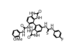 COc1ccccc1NC(=O)Nc1ccc2[nH]c(=O)[nH]c2c1-c1cc(NC(=S)Nc2ccc(F)cc2)cc2[nH]c(=O)[nH]c12